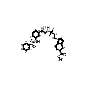 CCCCOC(=O)C1C=Cc2c(ccn2CCC(C)(C)NC[C@H](O)c2cccc(NS(=O)(=O)c3ccccc3)c2)C1